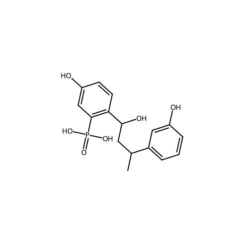 CC(CC(O)c1ccc(O)cc1P(=O)(O)O)c1cccc(O)c1